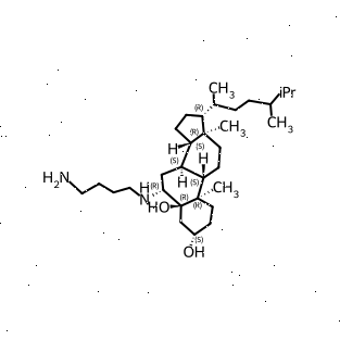 CC(C)C(C)CCC(C)[C@H]1CC[C@H]2[C@@H]3C[C@@H](NCCCCN)[C@@]4(O)C[C@@H](O)CC[C@]4(C)[C@H]3CC[C@]12C